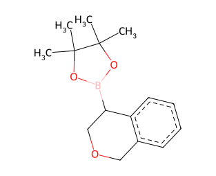 CC1(C)OB(C2COCc3ccccc32)OC1(C)C